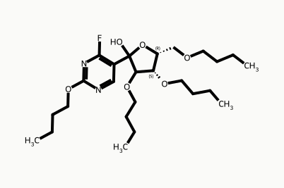 CCCCOC[C@H]1OC(O)(c2cnc(OCCCC)nc2F)C(OCCCC)[C@H]1OCCCC